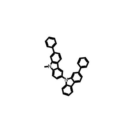 Cn1c2ccc(-n3c4ccccc4c4ccc(-c5ccccc5)cc43)cc2c2ccc(-c3ccccc3)cc21